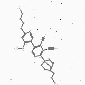 CCCCCc1ccc(-c2ccc(C34CCC(CCC)(CC3)CC4)c(C#N)c2C#N)c(OC)c1